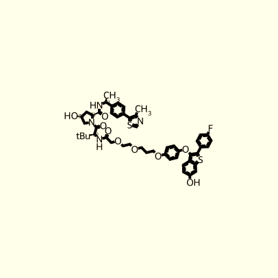 Cc1ncsc1-c1ccc([C@H](C)NC(=O)[C@@H]2C[C@@H](O)CN2C(=O)[C@@H](NC(=O)COCCOCCCOc2ccc(Oc3c(-c4ccc(F)cc4)sc4cc(O)ccc34)cc2)C(C)(C)C)cc1